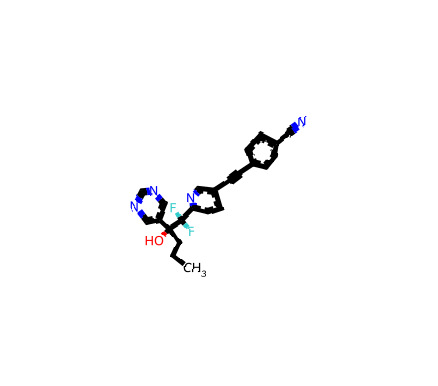 CCCC(O)(c1cncnc1)C(F)(F)c1ccc(C#Cc2ccc(C#N)cc2)cn1